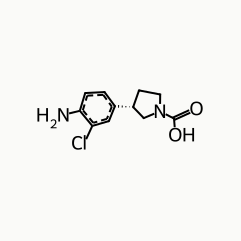 Nc1ccc([C@@H]2CCN(C(=O)O)C2)cc1Cl